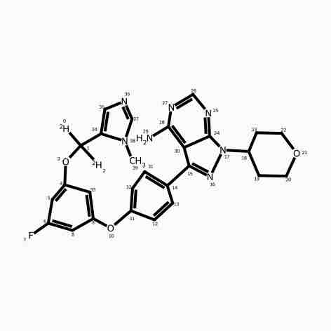 [2H]C([2H])(Oc1cc(F)cc(Oc2ccc(-c3nn(C4CCOCC4)c4ncnc(N)c34)cc2)c1)c1cncn1C